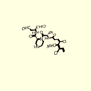 C=C/C(Cl)=C(OC)\C(Cl)=C/CC(=O)N[C@H](C(=O)N1CCNC[C@H]1C(=O)NC(C=O)CC=O)C(C)C